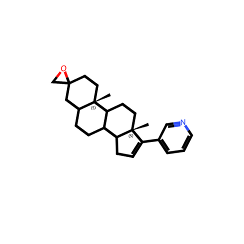 C[C@]12CCC3(CO3)CC1CCC1C2CC[C@]2(C)C(c3cccnc3)=CCC12